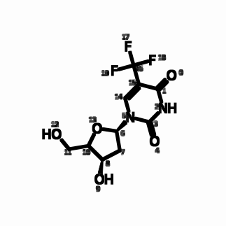 O=c1[nH]c(=O)n([C@H]2C[C@@H](O)C(CO)O2)cc1C(F)(F)F